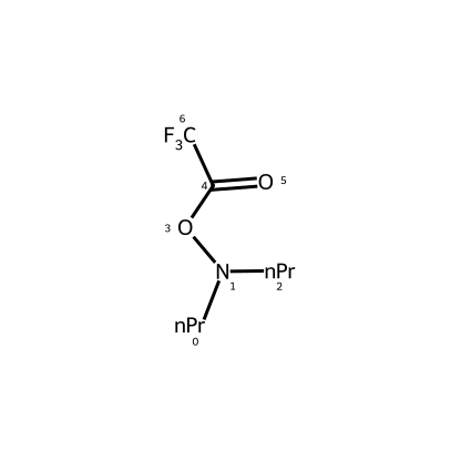 CCCN(CCC)OC(=O)C(F)(F)F